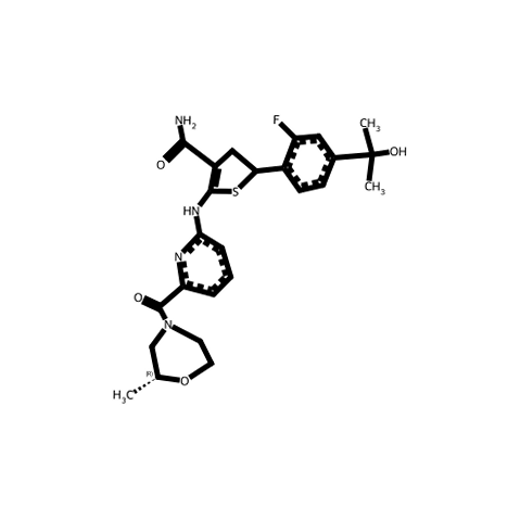 C[C@@H]1CN(C(=O)c2cccc(NC3=C(C(N)=O)CC(c4ccc(C(C)(C)O)cc4F)S3)n2)CCO1